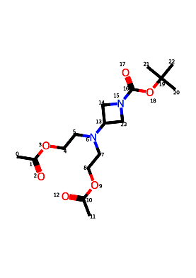 CC(=O)OCCN(CCOC(C)=O)C1CN(C(=O)OC(C)(C)C)C1